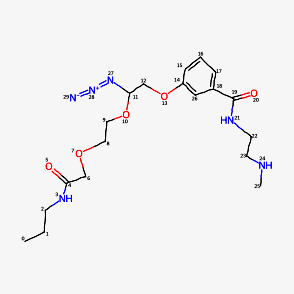 CCCNC(=O)COCCOC(COc1cccc(C(=O)NCCNC)c1)N=[N+]=[N-]